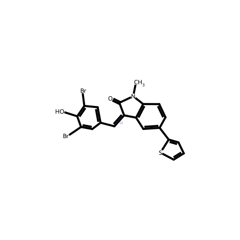 CN1C(=O)/C(=C\c2cc(Br)c(O)c(Br)c2)c2cc(-c3cccs3)ccc21